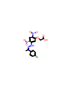 CC(=NNc1cc(OCC(=O)O)c([N+](=O)[O-])cc1[N+](=O)[O-])c1ccc(Br)cc1